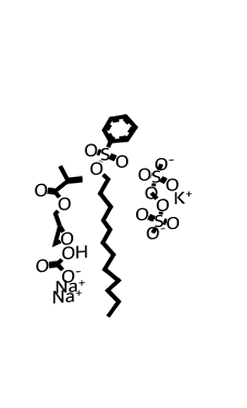 C=C(C)C(=O)OCC1CO1.CCCCCCCCCCCCOS(=O)(=O)c1ccccc1.O=C([O-])O.O=S(=O)([O-])OOS(=O)(=O)[O-].[K+].[Na+].[Na+]